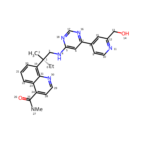 CC[C@](C)(CNc1cc(-c2ccnc(CO)c2)ncn1)c1cccc2c(C(=O)NC)ccnc12